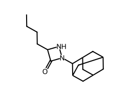 CCCCC1NN(C2C3CC4CC(C3)CC2C4)C1=O